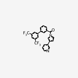 O=C(c1cccc(-c2cc(C(F)(F)F)cc(C(F)(F)F)c2)c1)n1ccc(-c2cccnc2)c1